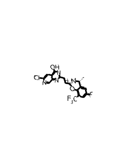 C[C@@H](N)c1cc(F)cc(C(F)(F)F)c1OCCCc1nc(O)c2cc(Cl)ncc2n1